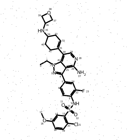 CCn1nc(-c2ccc(NS(=O)(=O)c3cc(OC)ccc3Cl)c(F)c2)c2c(N)ncc(C3=CCC(NC4COC4)CC3)c21